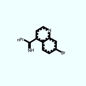 CCCC(=N)c1ccnc2cc(Br)ccc12